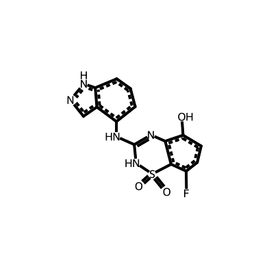 O=S1(=O)NC(Nc2cccc3[nH]ncc23)=Nc2c(O)ccc(F)c21